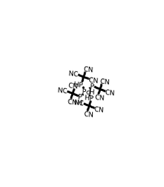 N#CC(C#N)(C#N)[PH][Pd]([PH]C(C#N)(C#N)C#N)([PH]C(C#N)(C#N)C#N)[PH]C(C#N)(C#N)C#N